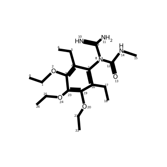 CCOc1c(CC)c(N(C(=N)N)C(=O)NC)c(CC)c(OCC)c1OCC